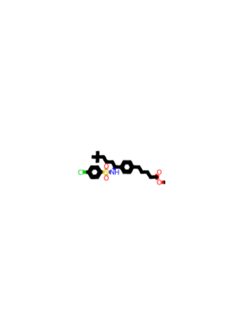 COC(=O)CCCCc1ccc(C(CCCC(C)(C)C)NS(=O)(=O)c2ccc(Cl)cc2)cc1